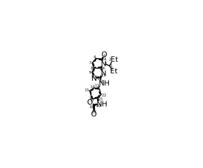 CCC(CC)n1c(=O)ccc2cnc(Nc3ccc4oc(=O)[nH]c4c3)nc21